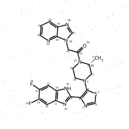 C[C@@H]1CN(c2scnc2-c2nc3cc(F)c(F)cc3[nH]2)CCN1C(=O)Cn1cnc2cccnc21